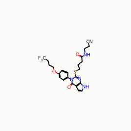 N#CCCNC(=O)CCCSc1nc2[nH]ccc2c(=O)n1-c1ccc(OCCCC(F)(F)F)cc1